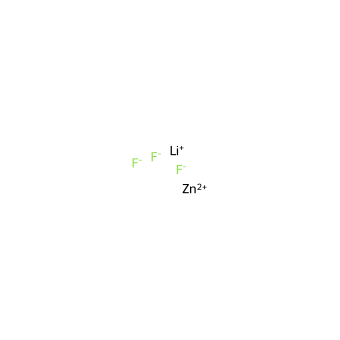 [F-].[F-].[F-].[Li+].[Zn+2]